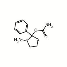 NC(=O)OC1(c2ccccc2)SCCN1N